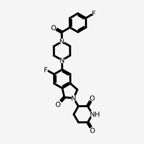 O=C1CCC(N2Cc3cc(N4CCN(C(=O)c5ccc(F)cc5)CC4)c(F)cc3C2=O)C(=O)N1